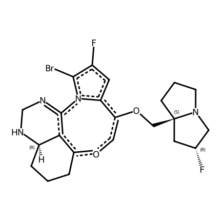 Fc1cc2c(OC[C@@]34CCCN3C[C@H](F)C4)coc3c4c(n2c1Br)=NCN[C@@H]4CCC3